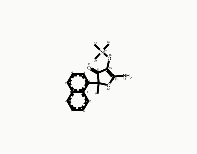 CC1(c2cccc3ccccc23)OC(N)=C(O[Si](C)(C)C)C1=O